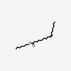 CCCCCC/C=C\CCCCCCCC(=O)OCCCCCCC